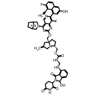 C#Cc1c(F)ccc2cc(O)cc(-c3ncc4c(N5CC6CCC(C5)N6)nc(OC[C@@]56CC[C@@H](COC(=O)NCNc7cccc8c7C(=O)N(C7CCC(=O)NC7=O)C8O)N5CC(=C)C6)nc4c3F)c12